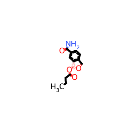 CCCC(=O)OB1OCc2ccc(C(N)=O)cc21